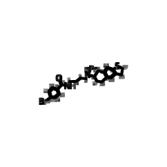 CCCN(CCCCNC(=O)c1ccc(Br)cc1)C1CCc2cc3c(cc2C1)SCC3